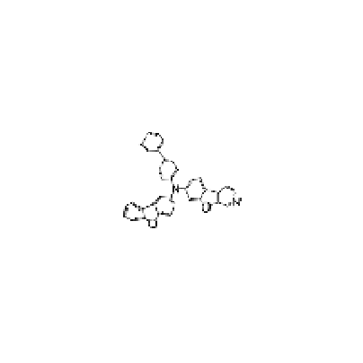 c1ccc(-c2ccc(N(c3ccc4c(c3)oc3cnccc34)c3ccc4oc5ccccc5c4c3)cc2)cc1